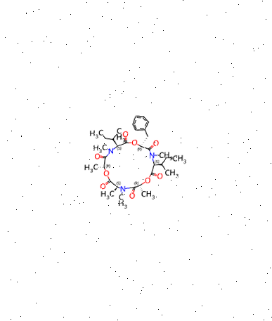 CCC(C)[C@H]1C(=O)O[C@H](Cc2ccccc2)C(=O)N(C)[C@@H](C(C)CC)C(=O)O[C@H](C)C(=O)N(C)[C@@H](C)C(=O)O[C@H](C)C(=O)N1C